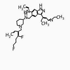 C=CNc1cc2[nH]nc(/C(=C/C=N\CC)CC)c2cc1CN[C@@H]1CCCN(C/C(C=C)=C(\F)CCCF)C1